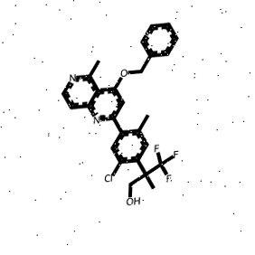 Cc1cc(C(C)(CO)C(F)(F)F)c(Cl)cc1-c1cc(OCc2ccccc2)c2c(C)nccc2n1